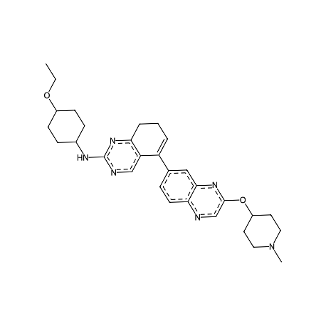 CCOC1CCC(Nc2ncc3c(n2)CCC=C3c2ccc3ncc(OC4CCN(C)CC4)nc3c2)CC1